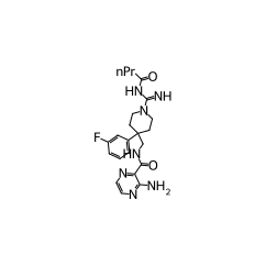 CCCC(=O)NC(=N)N1CCC(CNC(=O)c2nccnc2N)(c2cccc(F)c2)CC1